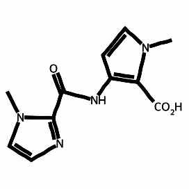 Cn1ccnc1C(=O)Nc1ccn(C)c1C(=O)O